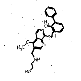 COc1c(CNCCO)cnc2c(Nc3cccc(-c4ccccc4)c3C)nccc12